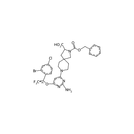 Nc1nc(O[C@H](c2ccc(Cl)cc2Br)C(F)(F)F)cc(N2CCC3(CC2)CC(C(=O)O)N(C(=O)OCc2ccccc2)C3)n1